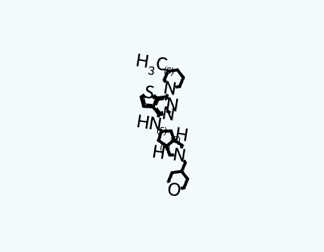 C[C@H]1CCCN(c2nnc(N[C@H]3C[C@@H]4CN(CC5CCOCC5)C[C@@H]4C3)c3ccsc23)C1